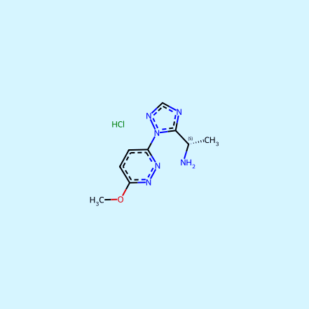 COc1ccc(-n2ncnc2[C@H](C)N)nn1.Cl